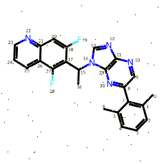 Cc1cccc(C)c1-c1cnc2ncn(C(C)c3c(F)cc4ncccc4c3F)c2n1